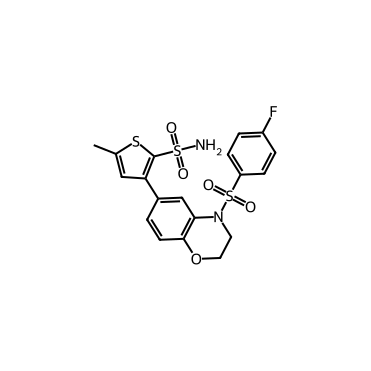 Cc1cc(-c2ccc3c(c2)N(S(=O)(=O)c2ccc(F)cc2)CCO3)c(S(N)(=O)=O)s1